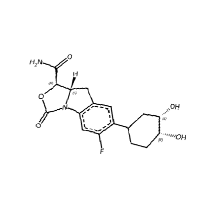 NC(=O)[C@@H]1OC(=O)N2c3cc(F)c(C4CC[C@@H](O)[C@@H](O)C4)cc3C[C@@H]12